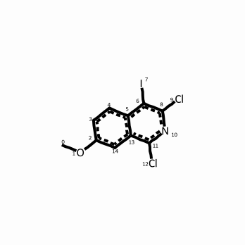 COc1ccc2c(I)c(Cl)nc(Cl)c2c1